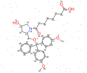 COc1ccc(C(OCC2CC(O)CN2C(=O)CCCCCCC(=O)O)(c2ccccc2)c2ccc(OC)cc2)cc1